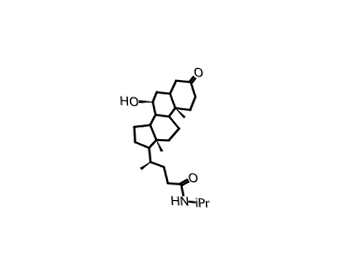 CC(C)NC(=O)CC[C@@H](C)C1CCC2C3C(CC[C@@]21C)[C@@]1(C)CCC(=O)CC1C[C@@H]3O